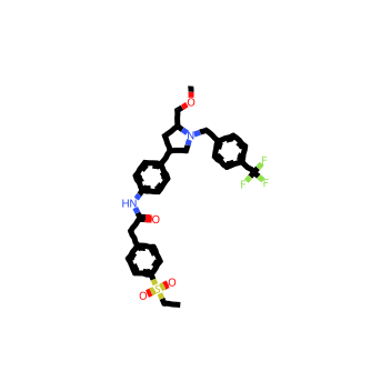 CCS(=O)(=O)c1ccc(CC(=O)Nc2ccc(C3CC(COC)N(Cc4ccc(C(F)(F)F)cc4)C3)cc2)cc1